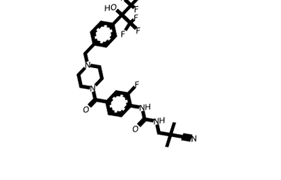 CC(C)(C#N)CNC(=O)Nc1ccc(C(=O)N2CCN(Cc3ccc(C(O)(C(F)(F)F)C(F)(F)F)cc3)CC2)cc1F